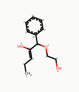 CCC=C(O)C(OCCO)c1ccccc1